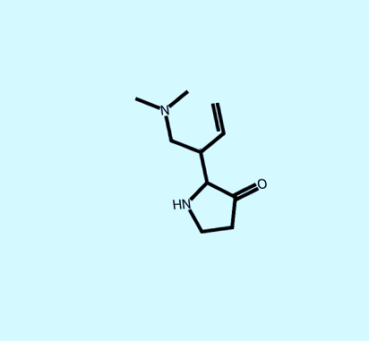 C=C[C](CN(C)C)C1NCCC1=O